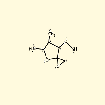 BC1OC2(CO2)C(OS)C1C